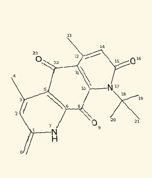 C=C1C=C(C)C2=C(N1)C(=O)c1c(c(C)cc(=O)n1C(C)(C)C)C2=O